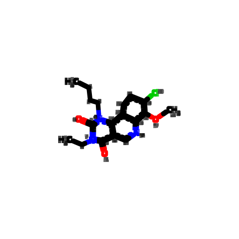 CCCCn1c(=O)n(CC)c(=O)c2cnc3c(OC)c(Cl)ccc3c21